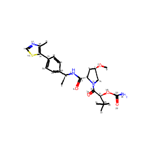 CO[C@@H]1C[C@@H](C(=O)N[C@@H](C)c2ccc(-c3scnc3C)cc2)N(C(=O)[C@@H](OC(N)=O)C(C)(C)C)C1